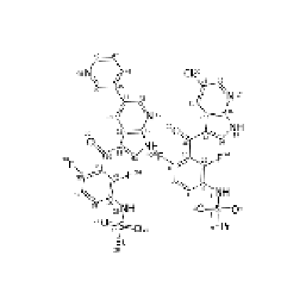 CCCS(=O)(=O)Nc1ccc(F)c(C(=O)c2c[nH]c3ncc(Cl)cc23)c1F.CCS(=O)(=O)Nc1ccc(F)c(C(=O)c2c[nH]c3ncc(-c4cccnc4)cc23)c1F